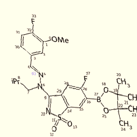 COc1cc(/C=N/N(CC(C)C)C2=NS(=O)(=O)c3cc(B4OC(C)(C)C(C)(C)O4)c(F)cc32)ccc1F